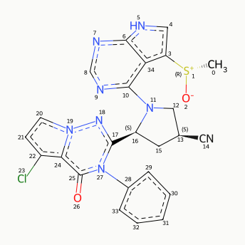 C[S@+]([O-])c1c[nH]c2ncnc(N3C[C@@H](C#N)C[C@H]3c3nn4ccc(Cl)c4c(=O)n3-c3ccccc3)c12